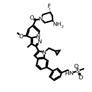 COc1cc(C(=O)N2C[C@H](N)C[C@@H](F)C2)cn2nc(-c3cc4ccc(-c5cccc(CNS(C)(=O)=O)c5)cc4n3CC3CC3)c(C)c12